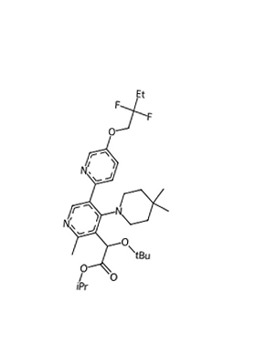 CCC(F)(F)COc1ccc(-c2cnc(C)c(C(OC(C)(C)C)C(=O)OC(C)C)c2N2CCC(C)(C)CC2)nc1